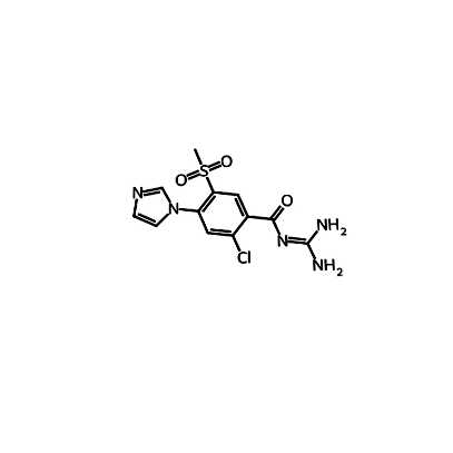 CS(=O)(=O)c1cc(C(=O)N=C(N)N)c(Cl)cc1-n1ccnc1